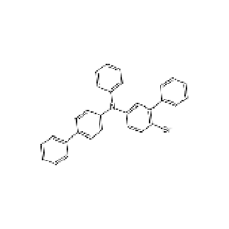 Brc1ccc(N(c2ccccc2)c2ccc(-c3ccccc3)cc2)cc1-c1ccccc1